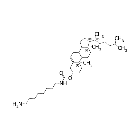 CC(C)CCC[C@@H](C)[C@H]1CCC2C3CC=C4CC(OC(=O)NCCCCCCCCN)CC[C@]4(C)C3CC[C@@]21C